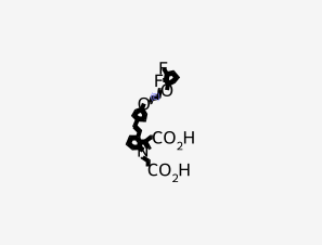 O=C(O)CCCn1cc(CC(=O)O)c2c(C=Cc3ccc(OC/C=C/COc4cccc(F)c4F)cc3)cccc21